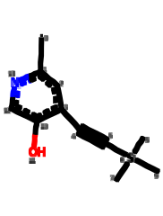 [CH2]c1cc(C#C[Si](C)(C)C)c(O)cn1